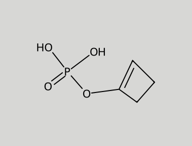 O=P(O)(O)OC1=CCC1